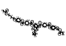 C=CC(=O)OCCCCCOC1=CCC(OC(=O)[C@H]2CC[C@H](C(=O)Oc3ccc(OC(=O)[C@H]4CC[C@H](C(=O)Oc5ccc(OCOC(=O)C=C)cc5)CC4)c4sc(-c5cccs5)nc34)CC2)C=C1